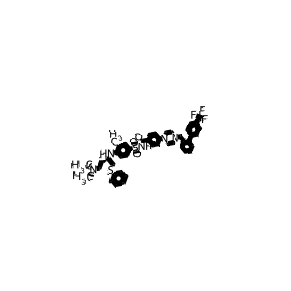 Cc1cc(S(=O)(=O)NC(=O)c2ccc(N3CCN(Cc4ccccc4-c4ccc(C(F)(F)F)cc4)CC3)cc2)ccc1N[C@H](CCN(C)C)CSc1ccccc1